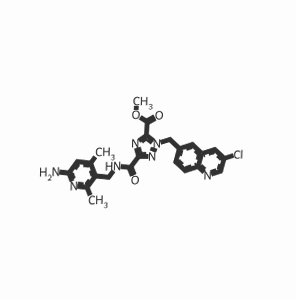 COC(=O)c1nc(C(=O)NCc2c(C)cc(N)nc2C)nn1Cc1ccc2ncc(Cl)cc2c1